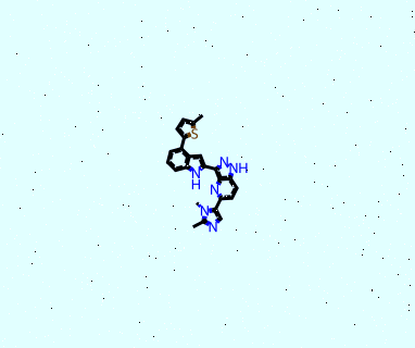 Cc1ccc(-c2cccc3[nH]c(-c4n[nH]c5ccc(-c6cnc(C)n6C)nc45)cc23)s1